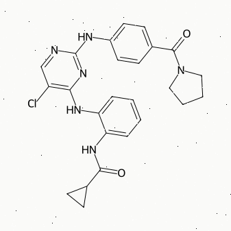 O=C(Nc1ccccc1Nc1nc(Nc2ccc(C(=O)N3CCCC3)cc2)ncc1Cl)C1CC1